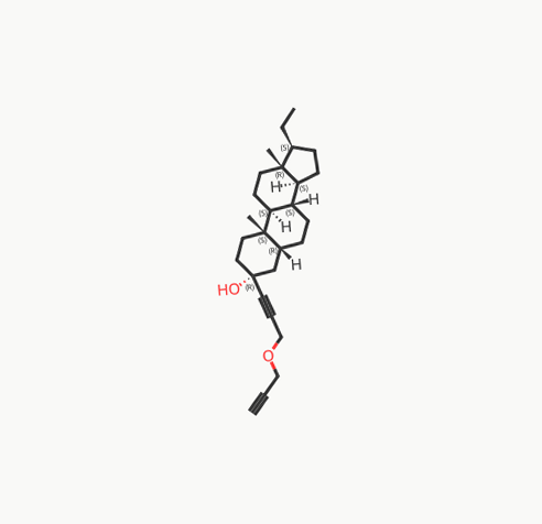 C#CCOCC#C[C@@]1(O)CC[C@@]2(C)[C@H](CC[C@@H]3[C@@H]2CC[C@]2(C)[C@@H](CC)CC[C@@H]32)C1